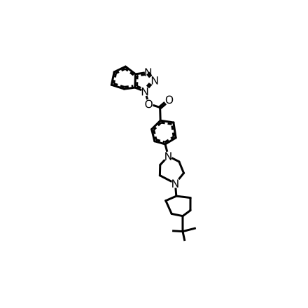 CC(C)(C)C1CCC(N2CCN(c3ccc(C(=O)On4nnc5ccccc54)cc3)CC2)CC1